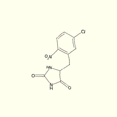 O=C1NC(=O)C(Cc2cc(Cl)ccc2[N+](=O)[O-])N1